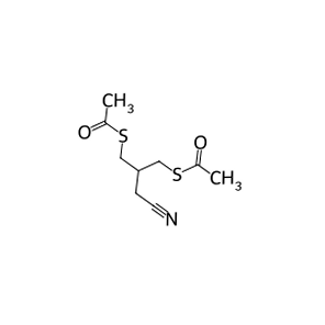 CC(=O)SCC(CC#N)CSC(C)=O